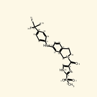 CS(=O)(=O)c1nc(C(=O)N2CCc3ccc(Nc4ccc(C(F)(F)F)cc4)cc3C2)c[nH]1